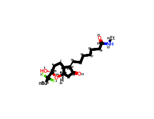 CCCCC(F)(F)[C@@]1(O)CCC2[C@@H](CC(=O)[C@@H]2CCCCCCC(=O)NCC)O1